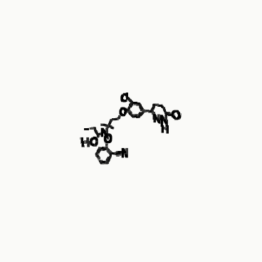 CCC(O)N(Oc1ccccc1C#N)C(C)(C)CCOc1ccc(C2=NNC(=O)CC2)cc1Cl